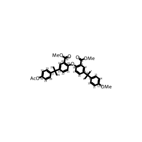 COC(=O)c1cc(C(C)(C)c2ccc(OC)cc2)ccc1Oc1ccc(C(C)(C)c2ccc(OC(C)=O)cc2)cc1C(=O)OC